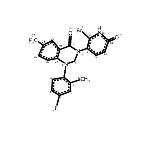 Cc1cc(F)ccc1N1CN(c2ccc(=O)[nH]c2Br)C(=O)c2cc(C(F)(F)F)ccc21